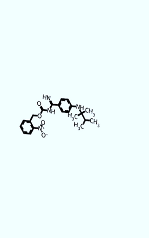 CC(C)C(C)(C)Nc1ccc(C(=N)NC(=O)OCc2ccccc2[N+](=O)[O-])cc1